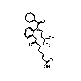 CC(C)CCN(C(=O)C1CCCCC1)c1ccccc1SC(=O)CCCCC(=O)O